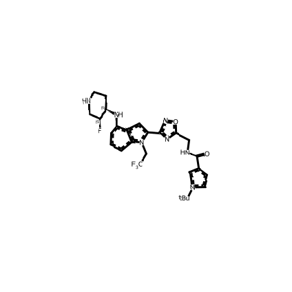 CC(C)(C)n1ccc(C(=O)NCc2nc(-c3cc4c(N[C@@H]5CCNC[C@@H]5F)cccc4n3CC(F)(F)F)no2)c1